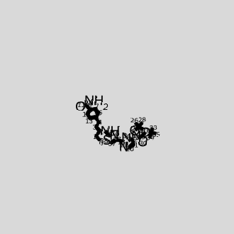 CCC(CCc1ccc(C(N)=O)cc1)Nc1nc(-c2nccc(N(OC(C)(C)C)C(=O)OC(C)(C)C)n2)cs1